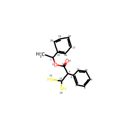 CC(OC(=O)C(c1ccccc1)C(S)S)c1ccccc1